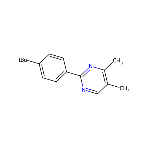 Cc1cnc(-c2ccc(C(C)(C)C)cc2)nc1C